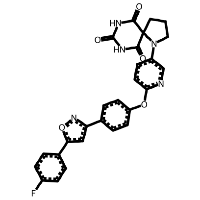 O=C1NC(=O)C2(CCCN2c2ccc(Oc3ccc(-c4cc(-c5ccc(F)cc5)on4)cc3)nc2)C(=O)N1